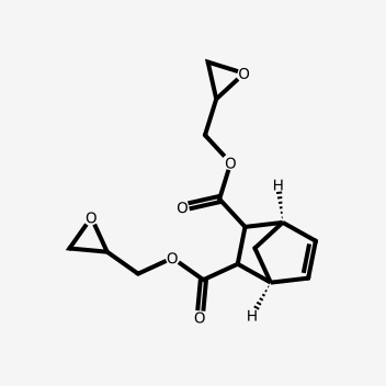 O=C(OCC1CO1)C1C(C(=O)OCC2CO2)[C@H]2C=C[C@@H]1C2